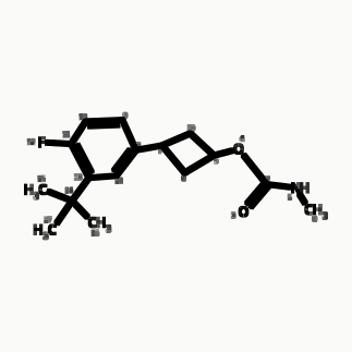 CNC(=O)OC1CC(c2ccc(F)c(C(C)(C)C)c2)C1